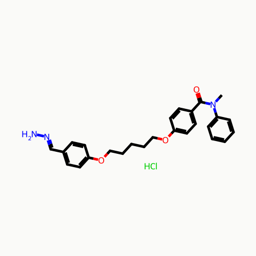 CN(C(=O)c1ccc(OCCCCCOc2ccc(C=NN)cc2)cc1)c1ccccc1.Cl